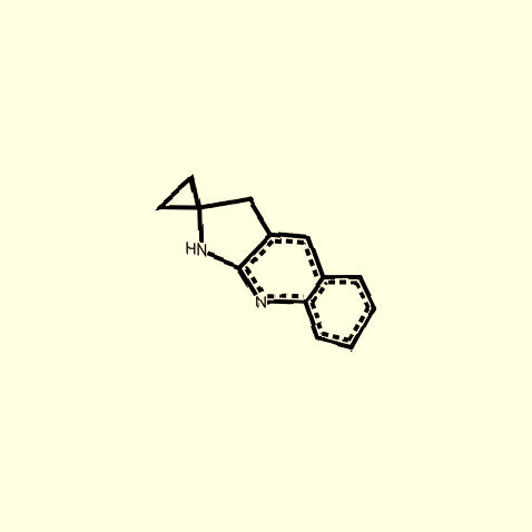 [c]1ccc2cc3c(nc2c1)NC1(CC1)C3